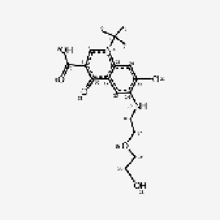 CC(C)(C)n1cc(C(=O)O)c(=O)c2cc(NCCOCCO)c(Cl)cc21